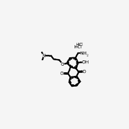 CN(C)CCCOc1cc(CN)c(O)c2c1C(=O)c1ccccc1C2=O.Cl.Cl